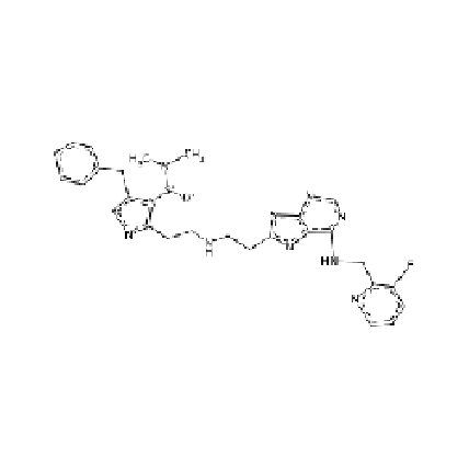 CN(C)[S+]([O-])n1c(Cc2ccccc2)cnc1CCNCCc1nc2c(NCc3ncccc3F)ncnc2s1